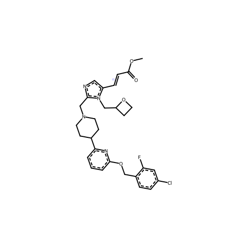 COC(=O)/C=C/c1cnc(CN2CCC(c3cccc(OCc4ccc(Cl)cc4F)n3)CC2)n1CC1CCO1